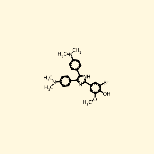 COc1cc(-c2nc(-c3ccc(N(C)C)cc3)c(-c3ccc(N(C)C)cc3)[nH]2)cc(Br)c1O